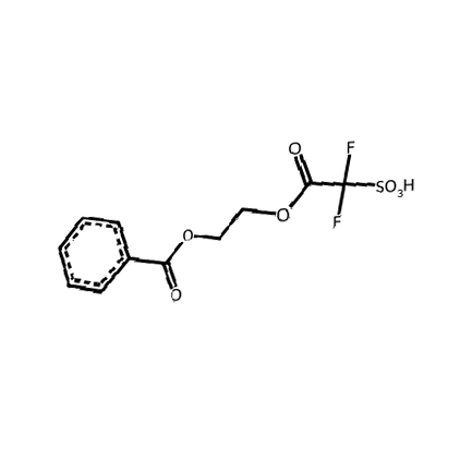 O=C(OCCOC(=O)C(F)(F)S(=O)(=O)O)c1ccccc1